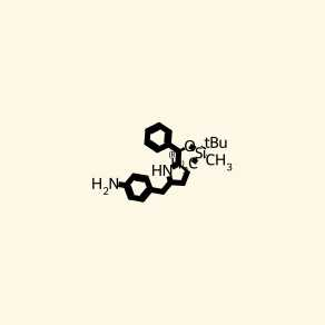 CC(C)(C)[Si](C)(C)O[C@H](c1ccccc1)[C@H]1CCC(Cc2ccc(N)cc2)N1